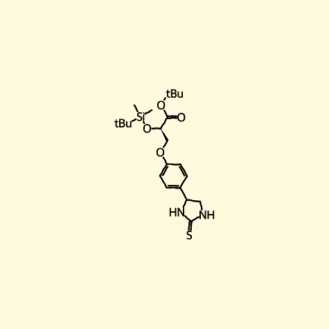 CC(C)(C)OC(=O)[C@@H](COc1ccc(C2CNC(=S)N2)cc1)O[Si](C)(C)C(C)(C)C